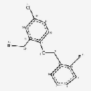 Fc1ccccc1COc1ccc(Cl)cc1CBr